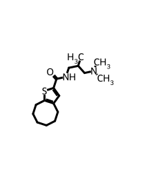 CC(CNC(=O)c1cc2c(s1)CCCCCC2)CN(C)C